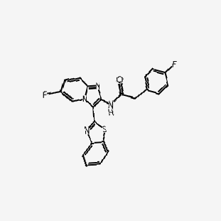 O=C(Cc1ccc(F)cc1)Nc1nc2ccc(F)cn2c1-c1nc2ccccc2s1